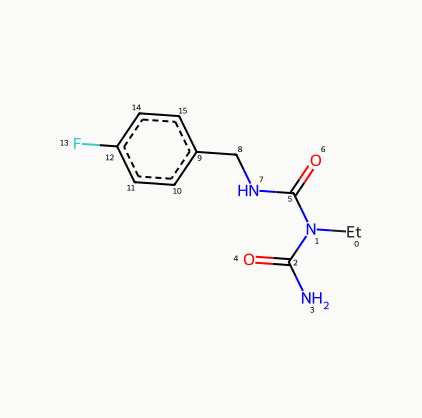 CCN(C(N)=O)C(=O)NCc1ccc(F)cc1